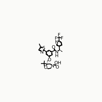 Cc1cnc(-c2cc(OC[C@]3(C(C)(C)C)CN(C(=O)O)CCO3)cc(C(=O)N[C@H](C)c3ccc(C(F)(F)F)nc3)c2)s1